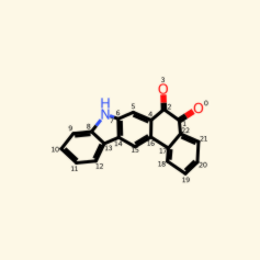 O=C1C(=O)c2cc3[nH]c4ccccc4c3cc2-c2ccccc21